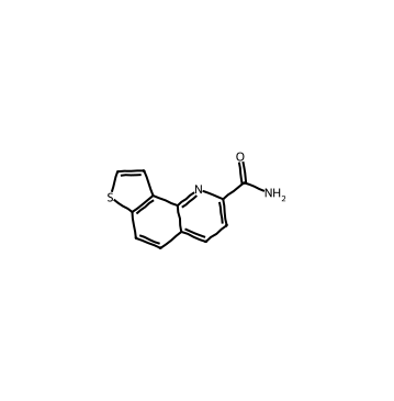 NC(=O)c1ccc2ccc3sccc3c2n1